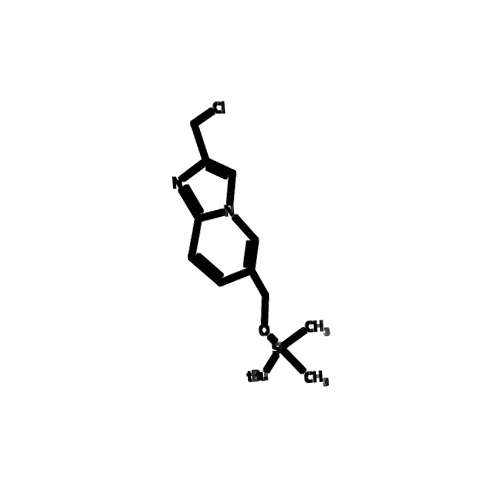 CC(C)(C)[Si](C)(C)OCc1ccc2nc(CCl)cn2c1